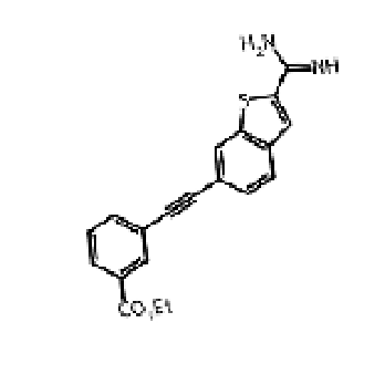 CCOC(=O)c1cccc(C#Cc2ccc3cc(C(=N)N)sc3c2)c1